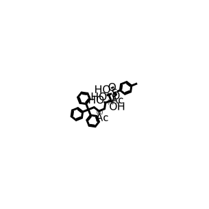 CC(=O)[C@@H](CC(O)[C@@](O)(C(C)=O)C(O)(O)S(=O)(=O)c1ccc(C)cc1)CC(c1ccccc1)(c1ccccc1)c1ccccc1